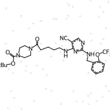 CC(C)(C)OC(=O)N1CCN(C(=O)CCCCNc2nc(NCc3ccccc3OC(F)(F)F)ncc2C#N)CC1